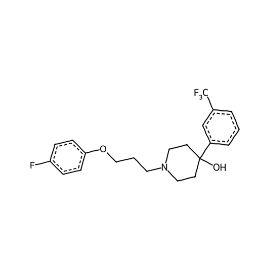 OC1(c2cccc(C(F)(F)F)c2)CCN(CCCOc2ccc(F)cc2)CC1